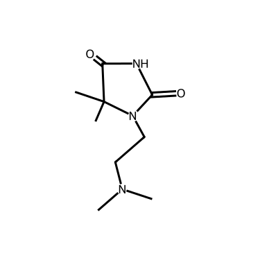 CN(C)CCN1C(=O)NC(=O)C1(C)C